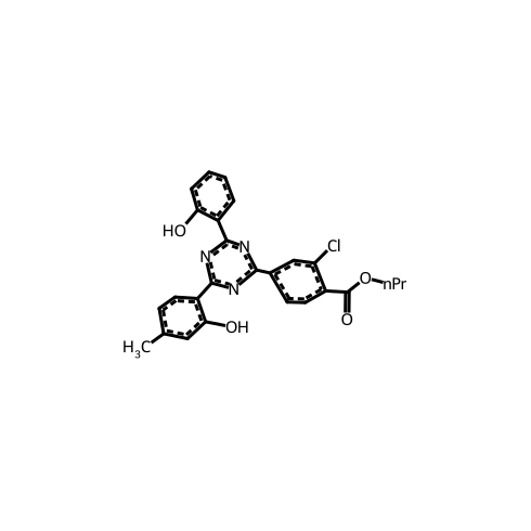 CCCOC(=O)c1ccc(-c2nc(-c3ccccc3O)nc(-c3ccc(C)cc3O)n2)cc1Cl